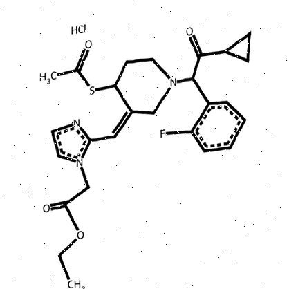 CCOC(=O)Cn1ccnc1/C=C1/CN(C(C(=O)C2CC2)c2ccccc2F)CCC1SC(C)=O.Cl